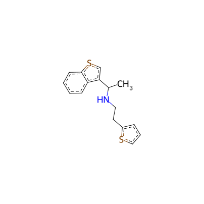 CC(NCCc1cccs1)c1csc2ccccc12